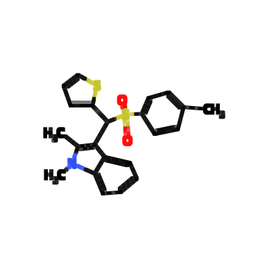 Cc1ccc(S(=O)(=O)C(c2cccs2)c2c(C)n(C)c3ccccc23)cc1